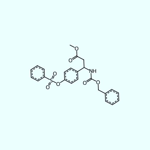 COC(=O)CC(NC(=O)OCc1ccccc1)c1ccc(OS(=O)(=O)c2ccccc2)cc1